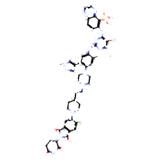 COc1cc(N2CCN(CCC3CCN(c4cc5c(cc4F)C(=O)N(C4CCC(=O)NC4=O)C5=O)CC3)CC2)c(-c2cnn(C)c2)cc1Nc1ncc(Br)c(Nc2ccc3nccnc3c2P(C)(C)=O)n1